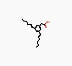 CCCCC=Cc1cc(C=CCCCC)cc(CC(=O)O)c1